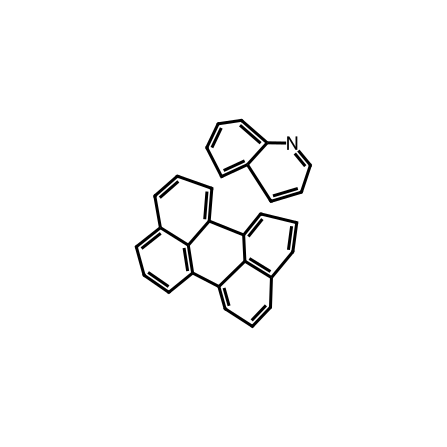 c1cc2cccc3c4cccc5cccc(c(c1)c23)c54.c1ccc2ncccc2c1